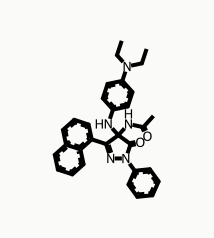 CCN(CC)c1ccc(NC2(NC(C)=O)C(=O)N(c3ccccc3)N=C2c2cccc3ccccc23)cc1